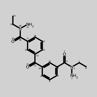 CCN(N)C(=O)c1cccc(C(=O)c2cccc(C(=O)N(N)CC)c2)c1